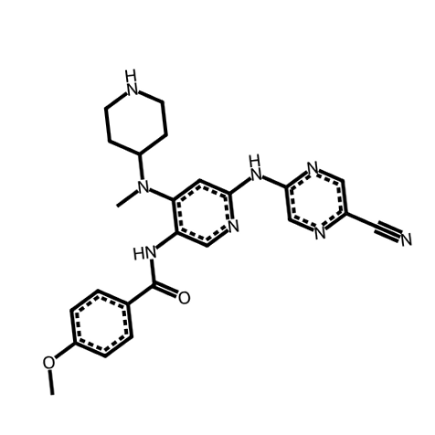 COc1ccc(C(=O)Nc2cnc(Nc3cnc(C#N)cn3)cc2N(C)C2CCNCC2)cc1